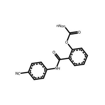 CCCCCCCCCC(=O)Oc1ccccc1C(=O)Nc1ccc(C#N)cc1